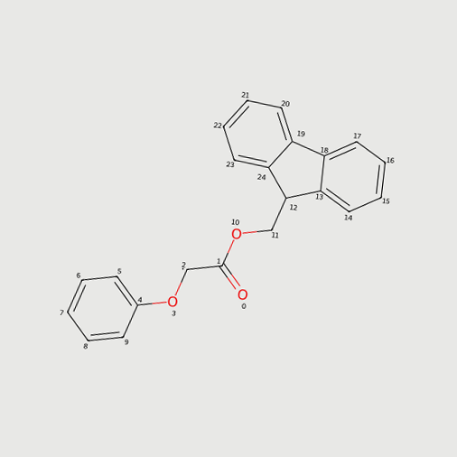 O=C([CH]Oc1ccccc1)OCC1c2ccccc2-c2ccccc21